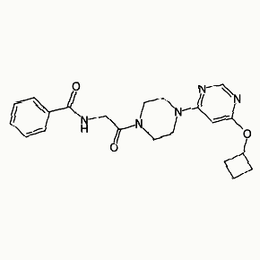 O=C(NCC(=O)N1CCN(c2cc(OC3CCC3)ncn2)CC1)c1ccccc1